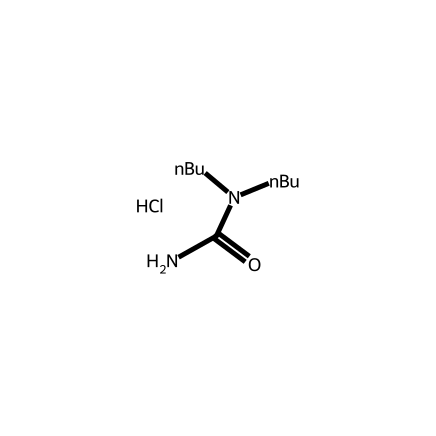 CCCCN(CCCC)C(N)=O.Cl